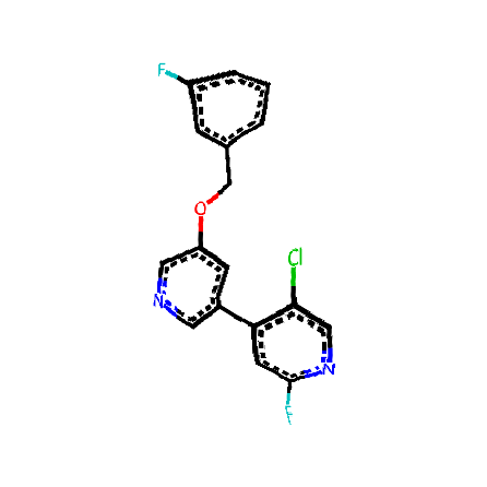 Fc1cccc(COc2cncc(-c3cc(F)ncc3Cl)c2)c1